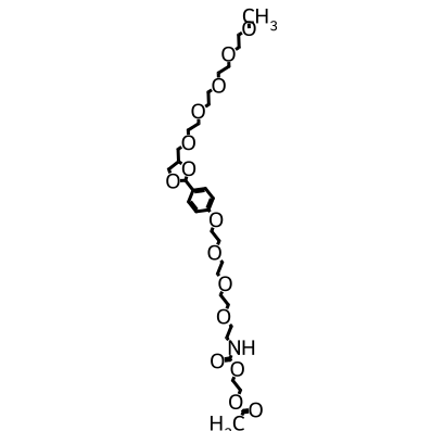 COCCOCCOCCOCCOCC1COC(c2ccc(OCCOCCOCCOCCNC(=O)OCCOC(C)=O)cc2)O1